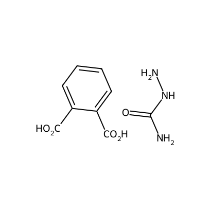 NNC(N)=O.O=C(O)c1ccccc1C(=O)O